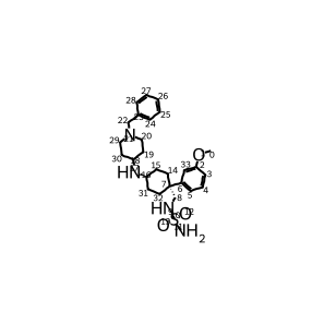 COc1cccc([C@]2(CNS(N)(=O)=O)CC[C@H](NC3CCN(Cc4ccccc4)CC3)CC2)c1